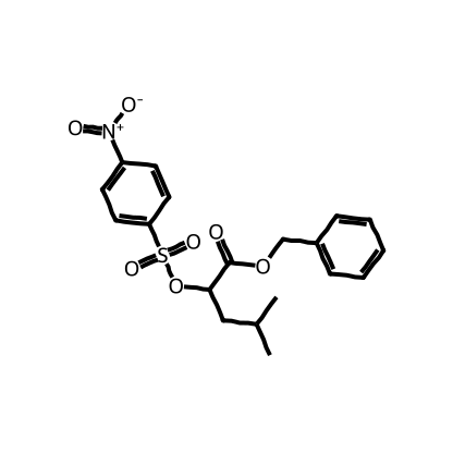 CC(C)CC(OS(=O)(=O)c1ccc([N+](=O)[O-])cc1)C(=O)OCc1ccccc1